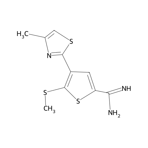 CSc1sc(C(=N)N)cc1-c1nc(C)cs1